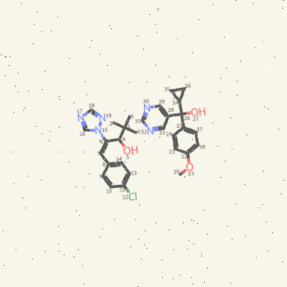 CC(C)(C)C(O)/C(=C\c1ccc(Cl)cc1)n1cncn1.COc1ccc(C(O)(c2cncnc2)C2CC2)cc1